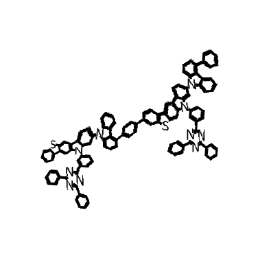 c1ccc(-c2nc(-c3ccccc3)nc(-c3cccc(-n4c5cc(-n6c7ccccc7c7c(-c8ccccc8)cccc76)ccc5c5cc6c(cc54)sc4cc(-c5ccc(-c7cccc8c7c7ccccc7n8-c7ccc8c9cc%10sc%11ccccc%11c%10cc9n(-c9cccc(-c%10nc(-c%11ccccc%11)nc(-c%11ccccc%11)n%10)c9)c8c7)cc5)ccc46)c3)n2)cc1